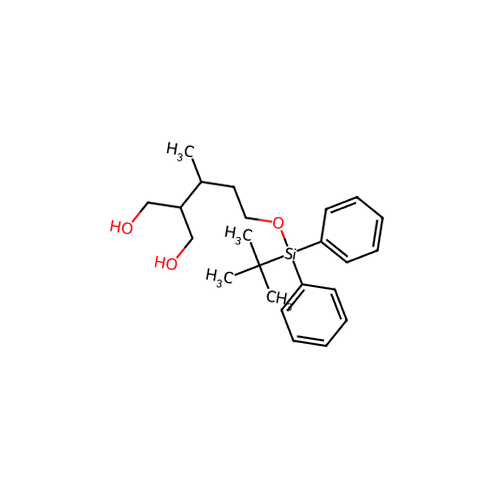 CC(CCO[Si](c1ccccc1)(c1ccccc1)C(C)(C)C)C(CO)CO